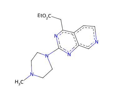 CCOC(=O)Cc1nc(N2CCN(C)CC2)nc2cnccc12